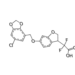 O=C(O)C(F)(F)C1COc2cc(OCc3cc(Cl)cc4c3OCO4)ccc21